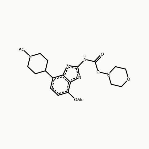 COc1ccc(C2CCN(C(C)=O)CC2)c2sc(NC(=O)ON3CCOCC3)nc12